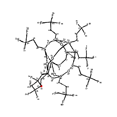 FC(F)(F)CC[Si]12CO[Si]3(CCC(F)(F)F)O[Si]4(CCC(F)(F)F)O[Si]5(CCC(F)(F)F)CO[Si](CCC(F)(F)F)(O[Si](CCC(F)(F)F)(O1)O4)O[Si](CCC(F)(F)F)(O2)O[Si](CCC(F)(F)F)(O5)O3